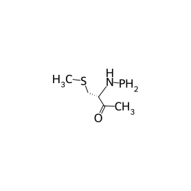 CSC[C@H](NP)C(C)=O